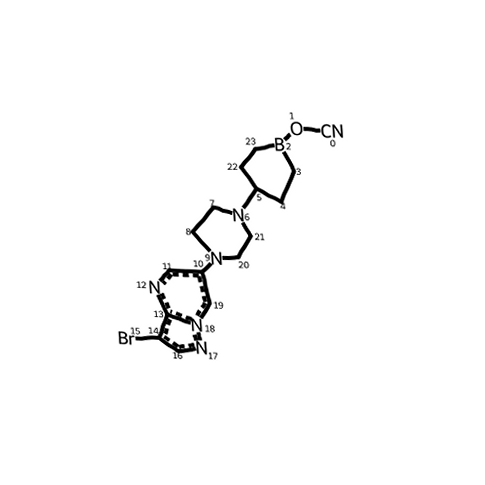 N#COB1CCC(N2CCN(c3cnc4c(Br)cnn4c3)CC2)CC1